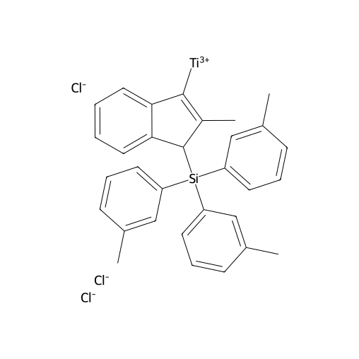 CC1=[C]([Ti+3])c2ccccc2C1[Si](c1cccc(C)c1)(c1cccc(C)c1)c1cccc(C)c1.[Cl-].[Cl-].[Cl-]